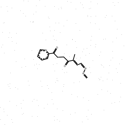 C=N/N=C\C=C(/C)C(=O)CCC(=O)c1ccccn1